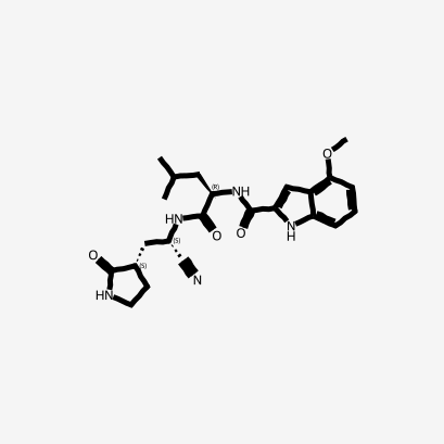 COc1cccc2[nH]c(C(=O)N[C@H](CC(C)C)C(=O)N[C@H](C#N)C[C@@H]3CCNC3=O)cc12